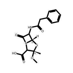 CO[C@@]1(C)S[C@H]2C(NC(=O)Cc3ccccc3)C(=O)N2C1C(=O)O